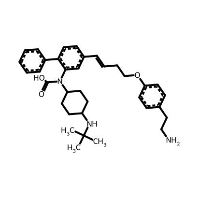 CC(C)(C)NC1CCC(N(C(=O)O)c2cc(C=CCCOc3ccc(CCN)cc3)ccc2-c2ccccc2)CC1